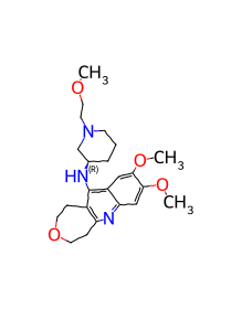 COCCN1CCC[C@@H](Nc2c3c(nc4cc(OC)c(OC)cc24)CCOCC3)C1